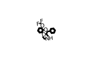 FC(F)Oc1ccccc1OC(c1ccccc1)C1CNCCO1